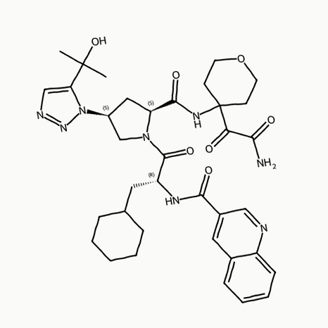 CC(C)(O)c1cnnn1[C@H]1C[C@@H](C(=O)NC2(C(=O)C(N)=O)CCOCC2)N(C(=O)[C@@H](CC2CCCCC2)NC(=O)c2cnc3ccccc3c2)C1